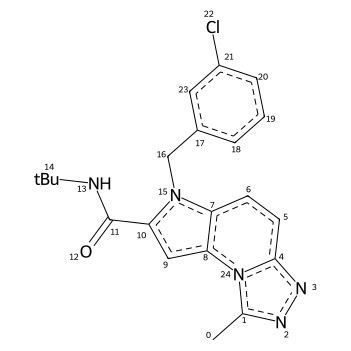 Cc1nnc2ccc3c(cc(C(=O)NC(C)(C)C)n3Cc3cccc(Cl)c3)n12